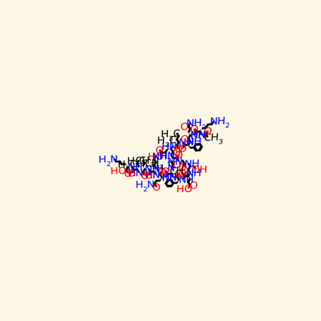 CC[C@H](C)[C@H](NC(=O)[C@H](Cc1ccccc1)NC(=O)[C@H](CCC(N)=O)NC(=O)[C@H](CCCCN)NC(C)=O)C(=O)N[C@@H](CCC(=O)O)C(=O)N[C@@H](CC(N)=O)C(=O)NCC(=O)N[C@@H](CO)C(=O)N[C@@H](CCC(=O)O)C(=O)N[C@@H](Cc1ccccc1)C(=O)N[C@@H](C)C(=O)N[C@@H](CCC(N)=O)C(=O)N[C@@H](CCCCN)C(=O)N[C@@H](CC(C)C)C(=O)N[C@@H](CC(C)C)C(=O)N[C@@H](CCCCN)C(=O)O